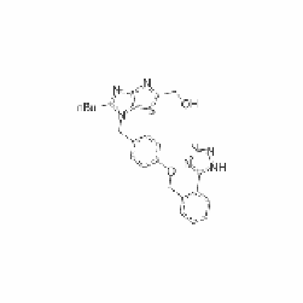 CCCCc1nc2nc(CO)sc2n1Cc1ccc(OCc2ccccc2-c2nnn[nH]2)cc1